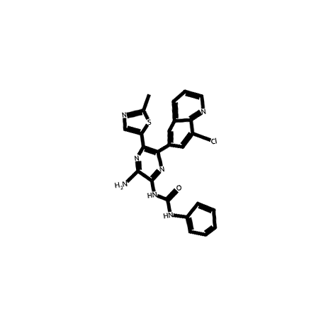 Cc1ncc(-c2nc(N)c(NC(=O)Nc3ccccc3)nc2-c2cc(Cl)c3ncccc3c2)s1